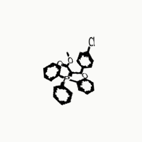 COC(=O)C(C(=O)c1ccc(Cl)cc1)=P(c1ccccc1)(c1ccccc1)c1ccccc1